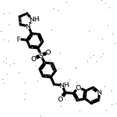 O=C(NCc1ccc(S(=O)(=O)c2ccc(N3CCCN3)c(F)c2)cc1)c1cc2ccncc2o1